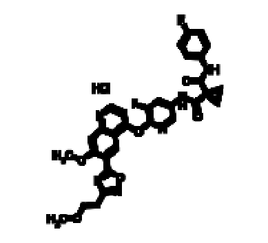 COCCc1noc(-c2cc3c(Oc4ncc(NC(=O)C5(C(=O)Nc6ccc(F)cc6)CC5)cc4F)ccnc3cc2OC)n1.Cl